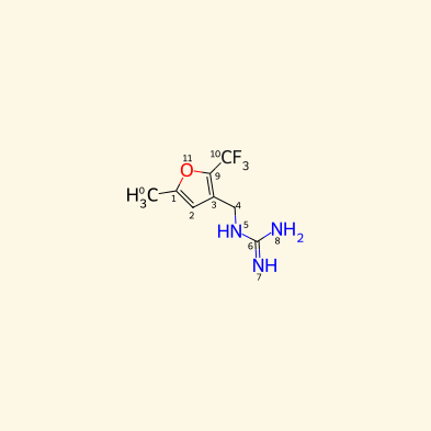 Cc1cc(CNC(=N)N)c(C(F)(F)F)o1